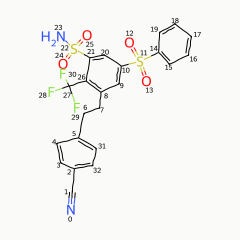 N#Cc1ccc(CCc2cc(S(=O)(=O)c3ccccc3)cc(S(N)(=O)=O)c2C(F)(F)F)cc1